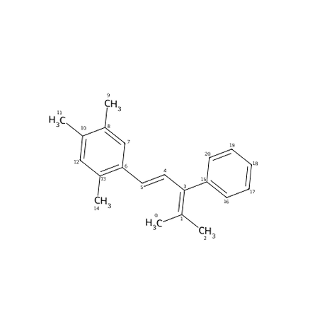 CC(C)=C(C=Cc1cc(C)c(C)cc1C)c1ccccc1